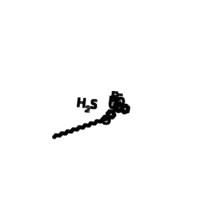 CCCCCCCCCCCCCCCCCCOc1ccc(C(C)(Cc2ccccc2)OS(=O)(=O)C(F)(F)F)cc1.S